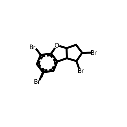 Brc1cc(Br)c2c(c1)C1C(CC(Br)C1Br)O2